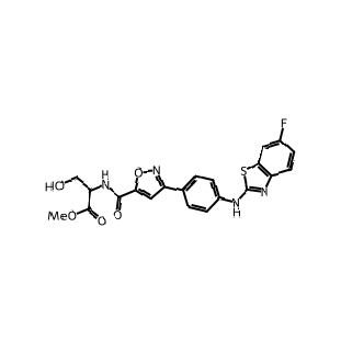 COC(=O)C(CO)NC(=O)c1cc(-c2ccc(Nc3nc4ccc(F)cc4s3)cc2)no1